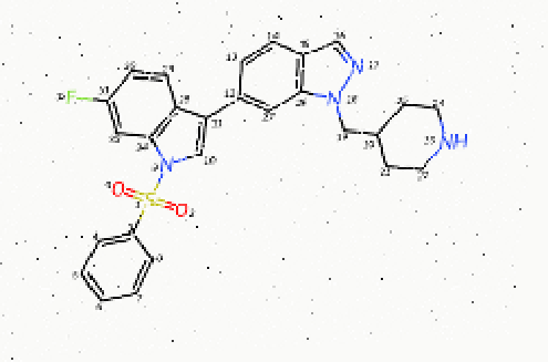 O=S(=O)(c1ccccc1)n1cc(-c2ccc3cnn(CC4CCNCC4)c3c2)c2ccc(F)cc21